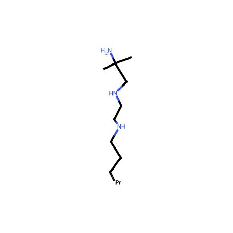 CC(C)CCCNCCNCC(C)(C)N